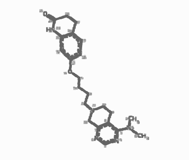 CN(C)c1ncnc2c1CCN(CCCCOc1ccc3c(c1)NC(=O)CC3)C2